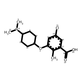 Cc1c(OC2CCC(N(C)C)CC2)cc(Cl)cc1C(=O)O